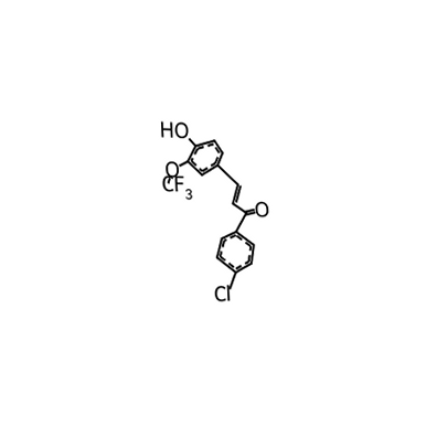 O=C(/C=C/c1ccc(O)c(OC(F)(F)F)c1)c1ccc(Cl)cc1